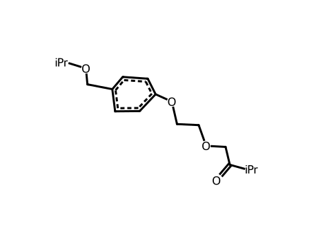 CC(C)OCc1ccc(OCCOCC(=O)C(C)C)cc1